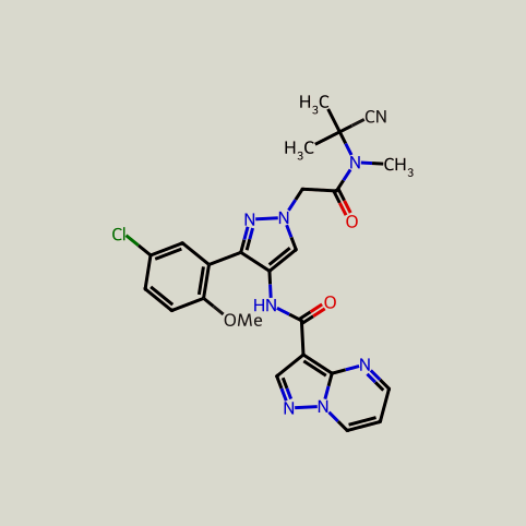 COc1ccc(Cl)cc1-c1nn(CC(=O)N(C)C(C)(C)C#N)cc1NC(=O)c1cnn2cccnc12